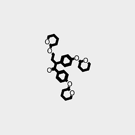 O=C(c1ccc(OC2CCCCO2)cc1)C(CCOC1CCCCO1)c1ccc(OC2CCCCO2)cc1